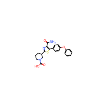 NC(=O)c1nc(C2CCCN(C(=O)O)C2)sc1-c1ccc(Oc2ccccc2)cc1